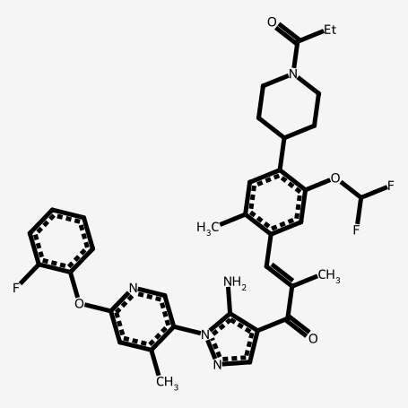 CCC(=O)N1CCC(c2cc(C)c(/C=C(\C)C(=O)c3cnn(-c4cnc(Oc5ccccc5F)cc4C)c3N)cc2OC(F)F)CC1